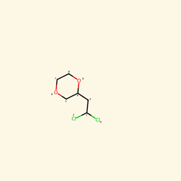 ClC(Cl)CC1COCCO1